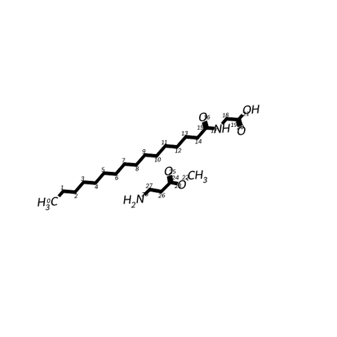 CCCCCCCCCCCCCCCC(=O)NCC(=O)O.COC(=O)CCN